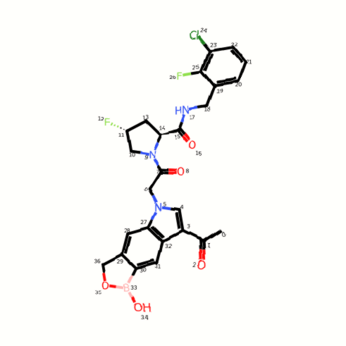 CC(=O)c1cn(CC(=O)N2C[C@H](F)C[C@H]2C(=O)NCc2cccc(Cl)c2F)c2cc3c(cc12)B(O)OC3